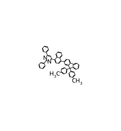 Cc1ccc(C2(c3ccc(C)cc3)c3ccccc3-c3ccc(-c4ccc(-c5cc(-c6ccccc6)nc(-c6ccccc6)n5)c5ccccc45)cc32)cc1